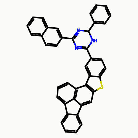 c1ccc(C2N=C(c3ccc4ccccc4c3)N=C(c3ccc4sc5cc6c7c(cccc7c5c4c3)-c3ccccc3-6)N2)cc1